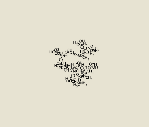 CC(COC(C)COCCOCCOCC(C)OCC(C)NC(c1ccc(C(=O)C(C)(C)O)cc1)c1ccc(C(=O)C(C)(C)O)cc1)NC(c1ccc(C(=O)C(C)(C)O)cc1)c1ccc(C(=O)C(C)(C)O)cc1.CCC(COCC(C)N)(COCC(C)NC(c1ccc(C(=O)C(C)(C)O)cc1)c1ccc(C(=O)C(C)(C)O)cc1)COCC(C)OCC(C)NC(c1ccc(C(=O)C(C)(C)O)cc1)c1ccc(C(=O)C(C)(C)O)cc1